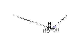 CCCCCCCCC/C=C/[C@@H](O)[C@H](CO)NC(=O)CCCCCCCCCCCCCCCCCCCCC